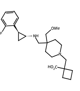 COCC1(CN[C@@H]2C[C@H]2c2ccccc2F)CCN(CC2(C(=O)O)CCC2)CC1